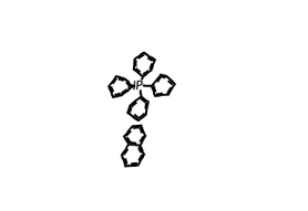 c1ccc([PH](c2ccccc2)(c2ccccc2)c2ccccc2)cc1.c1ccc2ccccc2c1